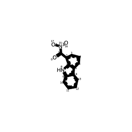 O=C(c1cccc2c1[nH]c1ccccc12)[N+](=O)[O-]